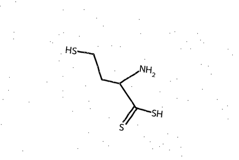 NC(CCS)C(=S)S